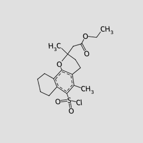 CCOC(=O)CC1(C)CCc2c(C)c(S(=O)(=O)Cl)c3c(c2O1)CCCC3